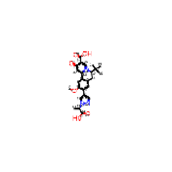 COc1cc2c(cc1-c1cnn(C(C)C(=O)O)c1)CC(C(C)(C)C)n1cc(C(=O)O)c(=O)cc1-2